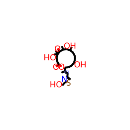 C/C(=C\c1csc(CO)n1)C1CCC(O)CCCC(C)C(O)C(C)C(=O)C(C)(C)C(O)CC(=O)O1